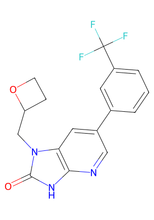 O=c1[nH]c2ncc(-c3cccc(C(F)(F)F)c3)cc2n1CC1CCO1